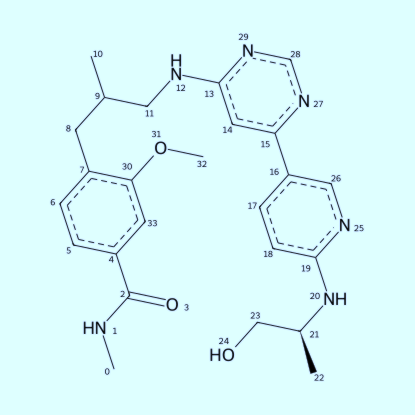 CNC(=O)c1ccc(CC(C)CNc2cc(-c3ccc(N[C@@H](C)CO)nc3)ncn2)c(OC)c1